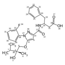 CC(C)[C@@](C)(O)COc1cc(C(=O)NC(CC(=O)O)Cc2ccccc2)nn1-c1ccccc1F